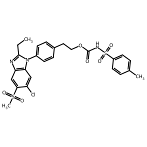 CCc1nc2cc(S(C)(=O)=O)c(Cl)cc2n1-c1ccc(CCOC(=O)NS(=O)(=O)c2ccc(C)cc2)cc1